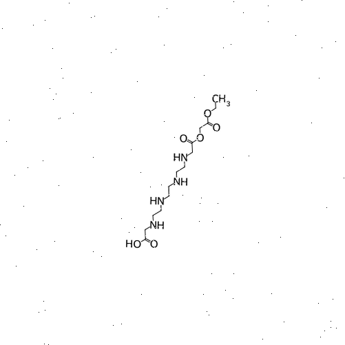 CCOC(=O)COC(=O)CNCCNCCNCCNCC(=O)O